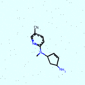 CN(c1ccc(C#N)cn1)C1C=CC(N)C1